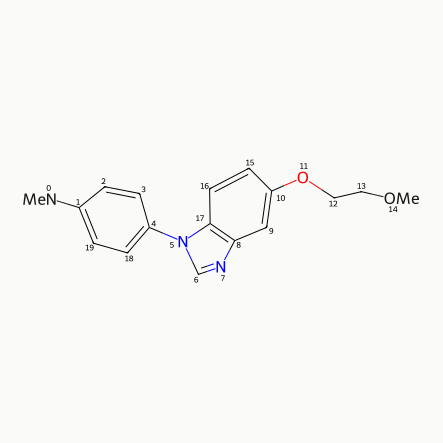 CNc1ccc(-n2cnc3cc(OCCOC)ccc32)cc1